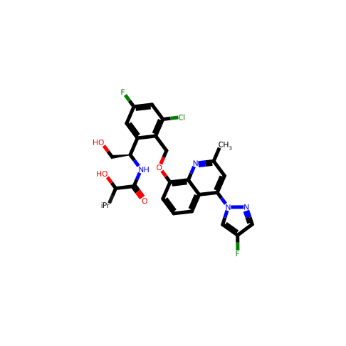 Cc1cc(-n2cc(F)cn2)c2cccc(OCc3c(Cl)cc(F)cc3[C@H](CO)NC(=O)C(O)C(C)C)c2n1